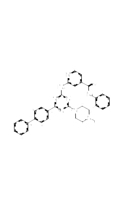 CN1CCN(c2nc(Nc3cc(C(=O)Nc4ccccc4)ccn3)nc(-c3ccc(-c4ccccc4)cc3)n2)CC1